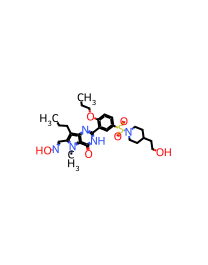 CCCOc1ccc(S(=O)(=O)N2CCC(CCO)CC2)cc1-c1nc2c(CCC)c(C=NO)n(C)c2c(=O)[nH]1